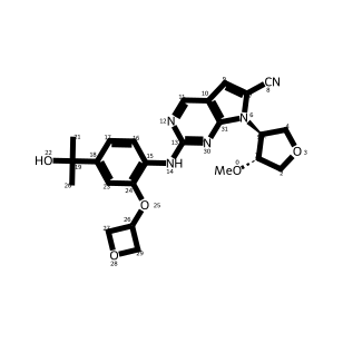 CO[C@H]1COC[C@@H]1n1c(C#N)cc2cnc(Nc3ccc(C(C)(C)O)cc3OC3COC3)nc21